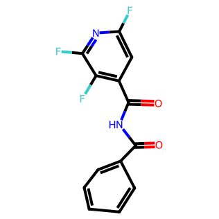 O=C(NC(=O)c1cc(F)nc(F)c1F)c1ccccc1